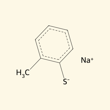 Cc1ccccc1[S-].[Na+]